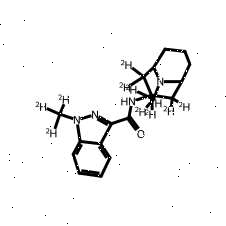 [2H]C([2H])([2H])N1C2CCCC1C([2H])([2H])C([2H])(NC(=O)c1nn(C([2H])([2H])[2H])c3ccccc13)C2([2H])[2H]